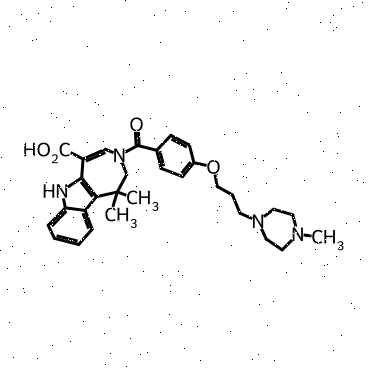 CN1CCN(CCCOc2ccc(C(=O)N3C=C(C(=O)O)c4[nH]c5ccccc5c4C(C)(C)C3)cc2)CC1